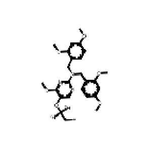 [2H]C([2H])(CF)Oc1cnc(N(Cc2ccc(OC)cc2OC)Cc2ccc(OC)cc2OC)nc1OC